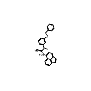 CN(C(=N)Nc1ccc2c3c(cccc13)C=C2)c1cccc(OCc2ccccc2)c1